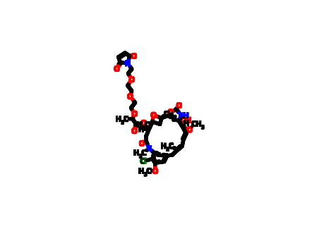 COc1cc2cc(c1Cl)N(C)C(=O)C[C@H](OC(=O)C(C)OCCOCCOCCN1C(=O)C=CC1=O)[C@@]1(C)CC(C)(O1)C1C[C@@](O)(NC(=O)O1)[C@H](OC)/C=C/C=C(\C)C2